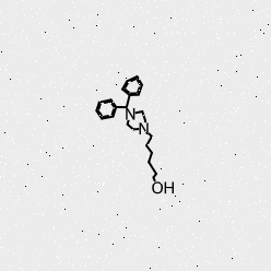 OCCCCCCN1CCN(C(c2ccccc2)c2ccccc2)CC1